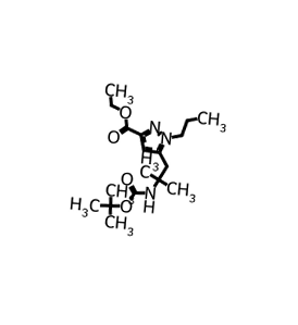 CCCn1nc(C(=O)OCC)cc1CC(C)(C)NC(=O)OC(C)(C)C